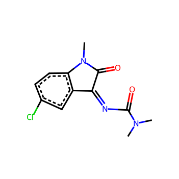 CN(C)C(=O)N=C1C(=O)N(C)c2ccc(Cl)cc21